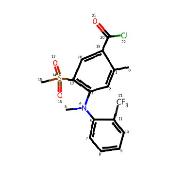 Cc1cc(N(C)c2ccccc2C(F)(F)F)c(S(C)(=O)=O)cc1C(=O)Cl